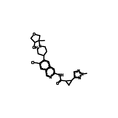 Cn1ncc(C2CC2C(=O)Nc2cc3cc(C4CCN(C5(C)COCC5O)CC4)c(Cl)cc3cn2)n1